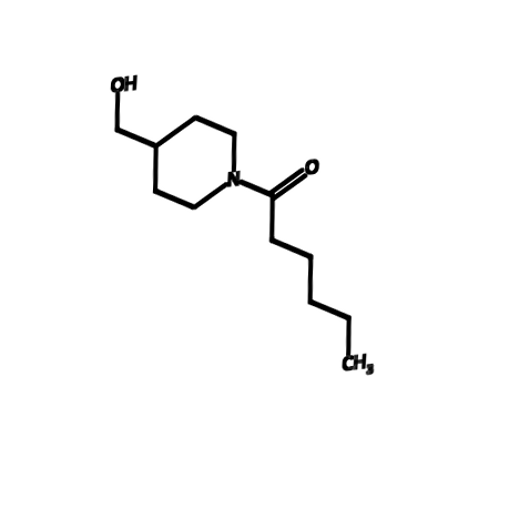 CCCCCC(=O)N1CCC(CO)CC1